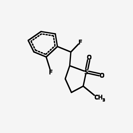 CC1CCC(C(F)c2ccccc2F)S1(=O)=O